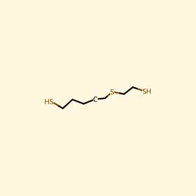 SCCCCCSCCS